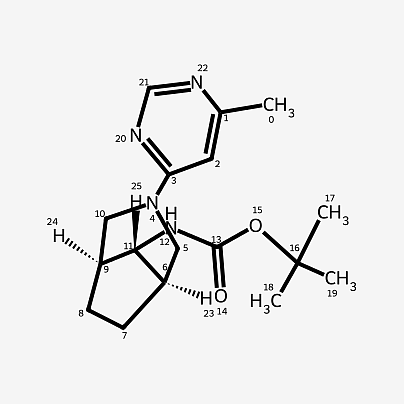 Cc1cc(N2C[C@H]3CC[C@@H](C2)[C@@H]3NC(=O)OC(C)(C)C)ncn1